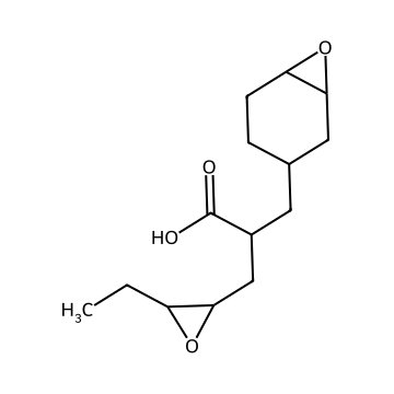 CCC1OC1CC(CC1CCC2OC2C1)C(=O)O